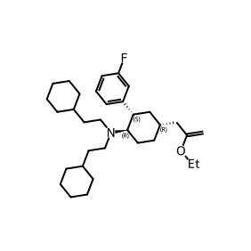 C=C(C[C@@H]1CC[C@@H](N(CCC2CCCCC2)CCC2CCCCC2)[C@H](c2cccc(F)c2)C1)OCC